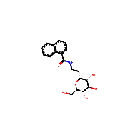 O=C(NCC[C@H]1O[C@H](CO)[C@@H](O)[C@H](O)[C@H]1O)c1cccc2ccccc12